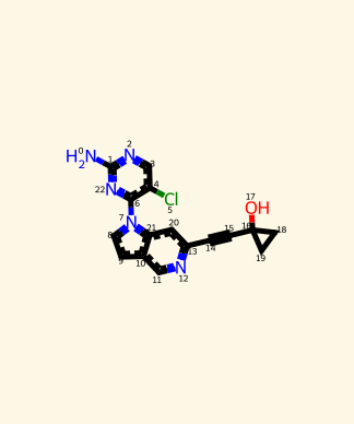 Nc1ncc(Cl)c(-n2ccc3cnc(C#CC4(O)CC4)cc32)n1